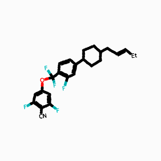 CC/C=C/CC1CCC(c2ccc(C(F)(F)Oc3cc(F)c(C#N)c(F)c3)c(F)c2)CC1